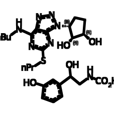 CCCCNc1nc(SCCC)nc2c1nnn2[C@@H]1CC[C@@H](O)[C@H]1O.O=C(O)NCC(O)c1cccc(O)c1